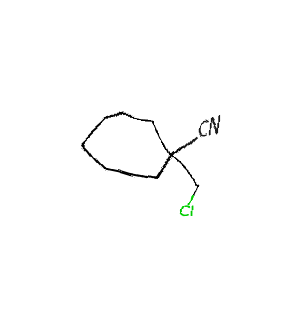 N#CC1(CCl)CCCCC1